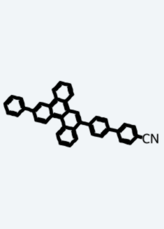 N#Cc1ccc(-c2ccc(-c3cc4c5ccccc5c5cc(-c6ccccc6)ccc5c4c4ccccc34)cc2)cc1